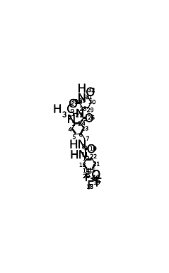 Cc1nc2ccc(CNC(=O)Nc3ccc(OC(F)(F)F)cc3)cc2c(=O)n1C1CCC(=O)NC1=O